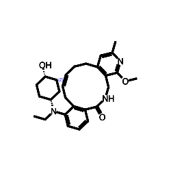 CCN(c1cccc2c1C/C=C\CCc1cc(C)nc(OC)c1CNC2=O)[C@H]1CC[C@@H](O)CC1